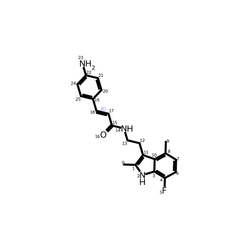 Cc1[nH]c2c(F)ccc(C)c2c1CCNC(=O)/C=C/c1ccc(N)cc1